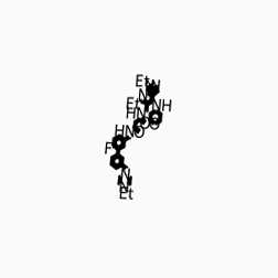 CCc1nc2c(cnn2CC)c(NC2CCOCC2)c1CNC(=O)CC(=O)NCc1ccc(F)c(-c2cccc(CN3CCN(CC)CC3)c2)c1